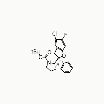 CC(C)(C)OC(=O)N1CCC[C@H]1[C@@]1(c2ccccc2)Cc2cc(Cl)c(F)cc2O1